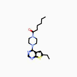 CCCCCC(=O)N1CCN(c2ncnc3sc(CC)cc23)CC1